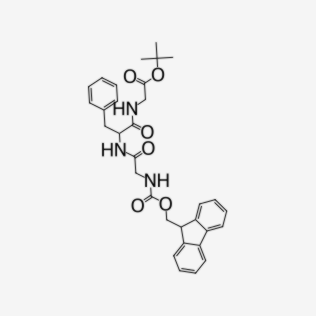 CC(C)(C)OC(=O)CNC(=O)C(Cc1ccccc1)NC(=O)CNC(=O)OCC1c2ccccc2-c2ccccc21